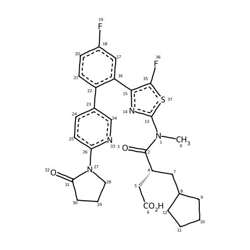 CN(C(=O)[C@@H](CC(=O)O)CC1CCCC1)c1nc(-c2cc(F)ccc2-c2ccc(N3CCCC3=O)nc2)c(F)s1